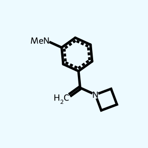 C=C(c1cccc(NC)c1)N1CCC1